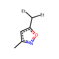 CCC(CC)c1cc(C)no1